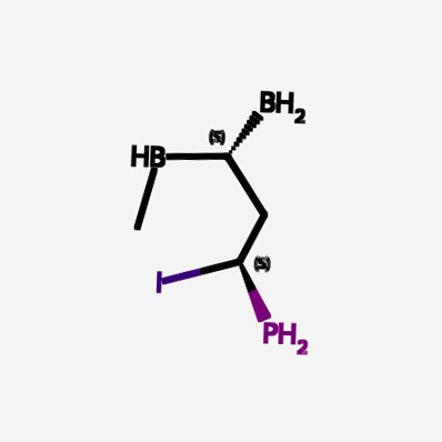 B[C@@H](BC)C[C@@H](P)I